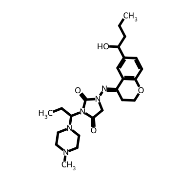 CCCC(O)c1ccc2c(c1)/C(=N/N1CC(=O)N(C(CC)N3CCN(C)CC3)C1=O)CCO2